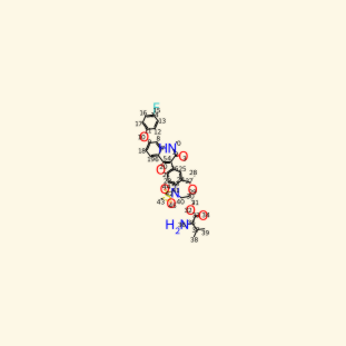 CNC(=O)c1c(-c2ccc(Oc3ccc(F)cc3)cc2)oc2cc3c(cc12)[C@H](C)O[C@H](COC(=O)[C@H](N)C(C)C)CN3S(C)(=O)=O